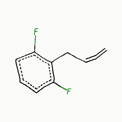 C=CCc1c(F)cccc1F